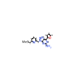 CSCc1cccc(Cn2nnc3c(-c4ccco4)nc(N)nc32)n1